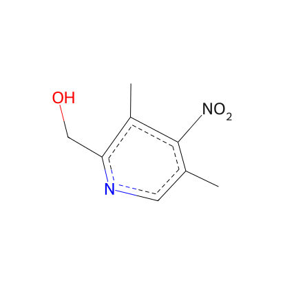 Cc1cnc(CO)c(C)c1[N+](=O)[O-]